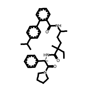 CCC(C)(CCC(C)NC(=O)c1ccccc1-c1ccc(C(C)C)cc1)C(=O)N[C@H](C(=O)N1CCCC1)c1ccccc1